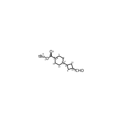 CC(C)(C)OC(=O)N1CCN(C2CC(C=O)C2)CC1